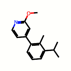 COc1cc(-c2cccc(C(C)C)c2C)ccn1